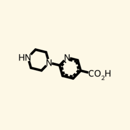 O=C(O)c1ccc(N2CCNCC2)nc1